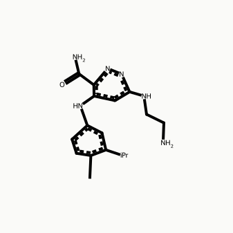 Cc1ccc(Nc2cc(NCCN)nnc2C(N)=O)cc1C(C)C